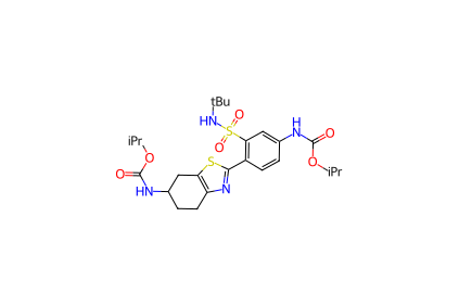 CC(C)OC(=O)Nc1ccc(-c2nc3c(s2)CC(NC(=O)OC(C)C)CC3)c(S(=O)(=O)NC(C)(C)C)c1